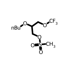 CCCCOC(COC(F)(F)F)COS(C)(=O)=O